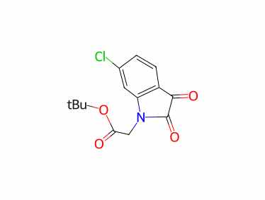 CC(C)(C)OC(=O)CN1C(=O)C(=O)c2ccc(Cl)cc21